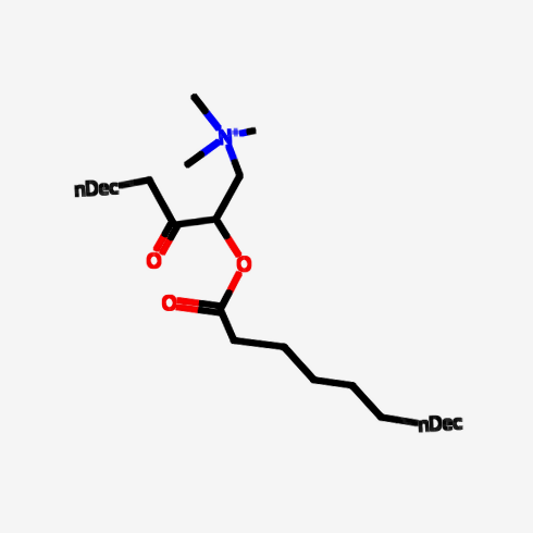 CCCCCCCCCCCCCCCC(=O)OC(C[N+](C)(C)C)C(=O)CCCCCCCCCCC